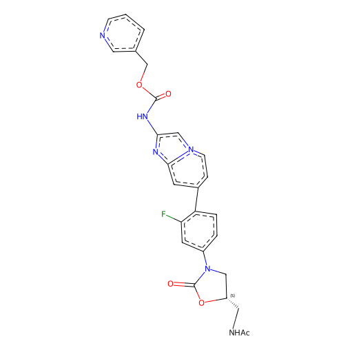 CC(=O)NC[C@H]1CN(c2ccc(-c3ccn4cc(NC(=O)OCc5cccnc5)nc4c3)c(F)c2)C(=O)O1